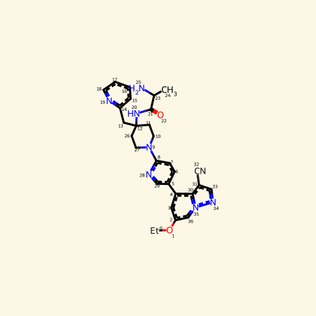 CCOc1cc(-c2ccc(N3CCC(Cc4ccccn4)(NC(=O)C(C)N)CC3)nc2)c2c(C#N)cnn2c1